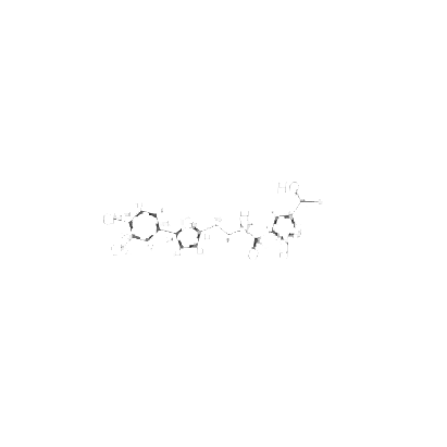 CC(O)c1cc(C(=O)NCCc2ccc(-c3ccc(Cl)c(Cl)c3)o2)[nH]n1